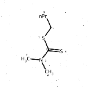 [CH2]CCCSC(=S)N(C)C